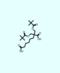 CC(C)(C)C(=O)OCC(CCCCCC(=O)O)(COC(=O)C(C)(C)C)C(=O)O